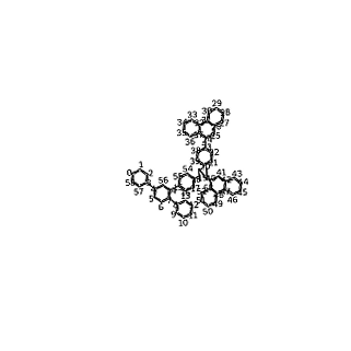 c1ccc(-c2ccc(-c3ccccc3)c(-c3ccc(N(c4ccc(-c5cc6ccccc6c6ccccc56)cc4)c4cc5ccccc5c5ccccc45)cc3)c2)cc1